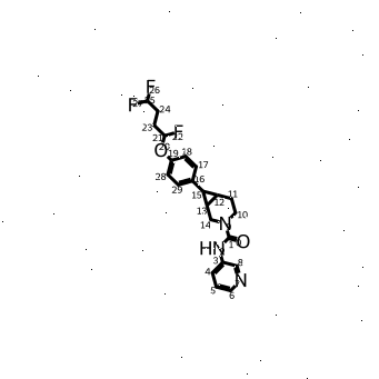 O=C(Nc1cccnc1)N1CCC2C(C1)C2c1ccc(OC(F)CCC(F)F)cc1